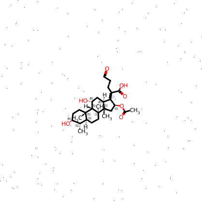 CC(=O)O[C@H]1C[C@@]2(C)[C@@H](C[C@@H](O)[C@H]3[C@@]4(C)CC[C@@H](O)[C@@H](C)[C@@H]4CC[C@@]32C)/C1=C(\CCC=O)C(=O)O